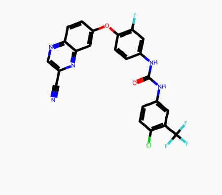 N#Cc1cnc2ccc(Oc3ccc(NC(=O)Nc4ccc(Cl)c(C(F)(F)F)c4)cc3F)cc2n1